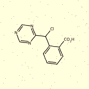 O=C(O)c1ccccc1C(Cl)c1ncncn1